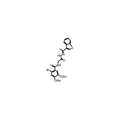 COc1cc(Br)c(C(=O)NCC(=O)N/N=C(\C)c2csc3ccccc23)cc1OC